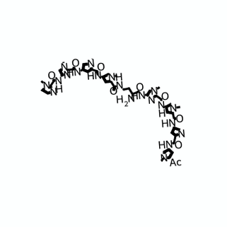 CC(=O)c1cc(NC(=O)c2cc(NC(=O)c3cc(NC(=O)c4nc(NC(=O)[C@H](N)CCNC(=O)c5cc(NC(=O)c6cc(NC(=O)c7nc(NC(=O)c8nccn8C)cn7C)cn6C)cn5C)cn4C)cn3C)cn2C)cn1C